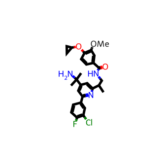 COc1cc(C(=O)NCC(C)c2cc(C(C)(C)N)cc(-c3ccc(F)c(Cl)c3)n2)ccc1OC1CC1